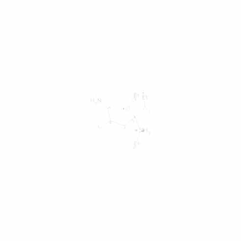 CCOC(CC(C)CN)(OCC)[SiH2]CC